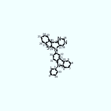 c1ccc(-n2c3ccccc3c3cc(-n4c5cncnc5c5c6ccccc6sc54)ccc32)cc1